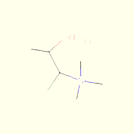 CC(O)C(Cl)[N+](C)(C)C.[Br-]